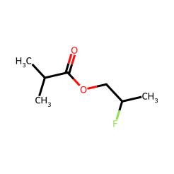 CC(F)COC(=O)C(C)C